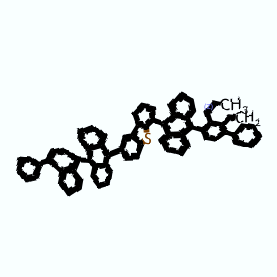 C=Cc1c(-c2ccccc2)ccc(-c2c3ccccc3c(-c3cccc4c3sc3ccc(-c5c6ccccc6c(-c6ccc(-c7ccccc7)c7ccccc67)c6ccccc56)cc34)c3ccccc23)c1/C=C\C